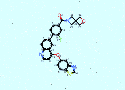 O=C(c1ccc(-c2ccc3nccc(Oc4ccc5scnc5c4)c3c2)c(F)c1)N1CC2(COC2)C1